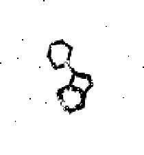 [CH]1C=C(N2CCCCC2)c2ccccc21